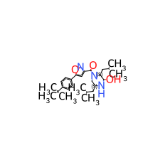 CC(C)C[C@H]1CN(C(=O)c2cc(-c3ccc(C(C)(C)C)cc3)on2)[C@@H](CC(C)C)C(O)N1